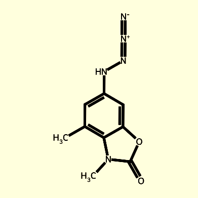 Cc1cc(NN=[N+]=[N-])cc2oc(=O)n(C)c12